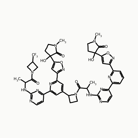 CC(Nc1nccc(-c2cc(C3CCN3C(=O)C(C)Nc3nccc(-c4cccc(-c5cc(C6(O)CCN(C)C6=O)on5)n4)n3)cc(-c3cc(C4(O)CCN(C)C4=O)on3)n2)n1)C(=O)N1CC(C(F)(F)F)C1